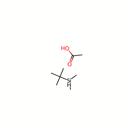 CC(=O)O.C[SiH](C)C(C)(C)C